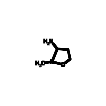 CN1OCCC1N